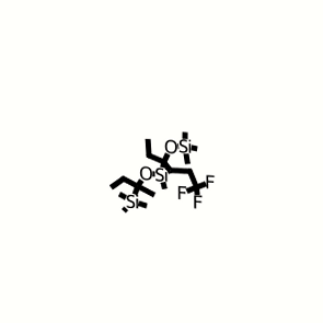 CCC(C)(O[Si]1(C)C(CC(F)(F)F)C1(CC)O[Si](C)(C)C)[Si](C)(C)C